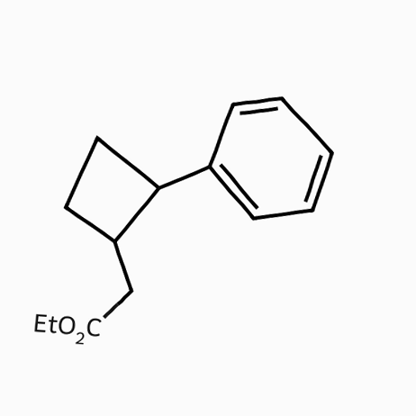 CCOC(=O)CC1CCC1c1ccccc1